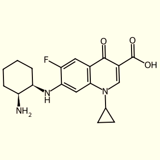 N[C@H]1CCCC[C@H]1Nc1cc2c(cc1F)c(=O)c(C(=O)O)cn2C1CC1